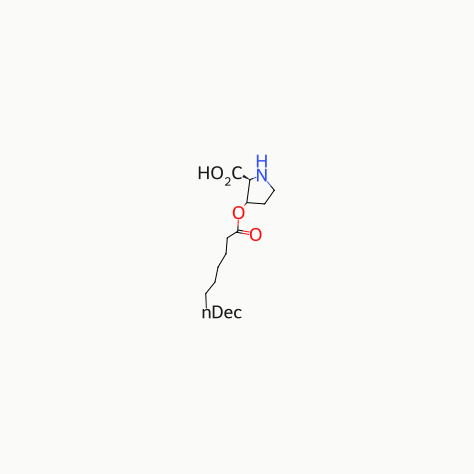 CCCCCCCCCCCCCCCC(=O)OC1CCN[C@@H]1C(=O)O